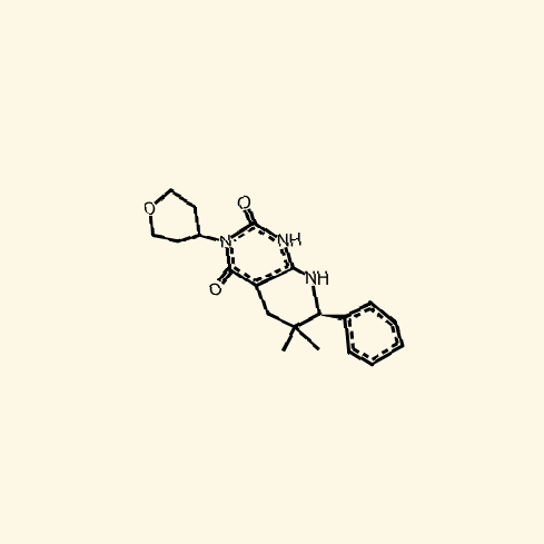 CC1(C)Cc2c([nH]c(=O)n(C3CCOCC3)c2=O)N[C@H]1c1ccccc1